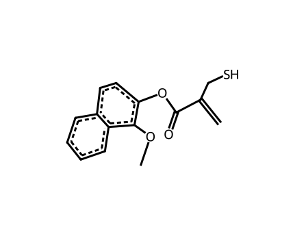 C=C(CS)C(=O)Oc1ccc2ccccc2c1OC